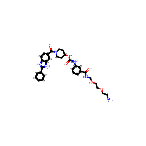 NCCOCCOCNC(=O)c1cccc(NC(=O)OC2CCN(C(=O)c3ccc4nc(-c5ccccc5)[nH]c4c3)CC2)c1